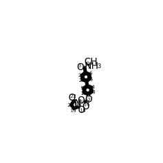 CNC(=O)c1ccc(-c2ccc(OC(=O)ON3C(=O)CCC3=O)cc2)cc1